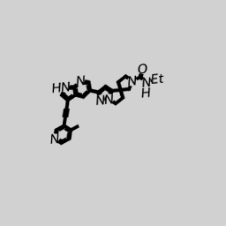 CCNC(=O)N1CCC2(CCn3nc(-c4cnc5[nH]cc(C#Cc6cnccc6C)c5c4)cc32)C1